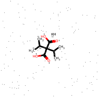 CC(C)C(C(=O)O)(C(=O)O)C(C)C.[KH]